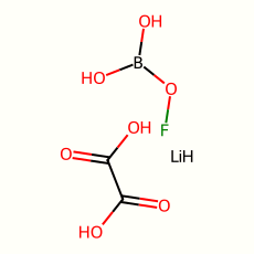 O=C(O)C(=O)O.OB(O)OF.[LiH]